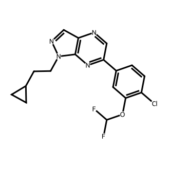 FC(F)Oc1cc(-c2cnc3cnn(CCC4CC4)c3n2)ccc1Cl